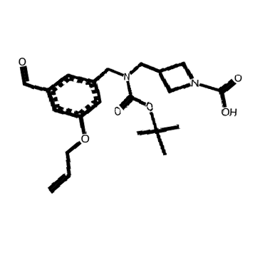 C=CCOc1cc(C=O)cc(CN(CC2CN(C(=O)O)C2)C(=O)OC(C)(C)C)c1